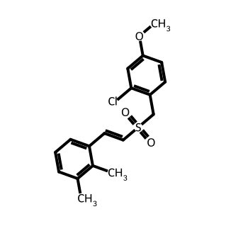 COc1ccc(CS(=O)(=O)C=Cc2cccc(C)c2C)c(Cl)c1